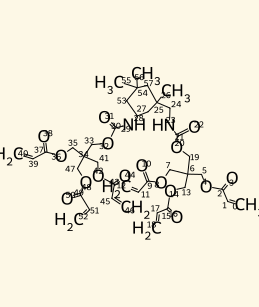 C=CC(=O)OCC(COC(=O)C=C)(COC(=O)C=C)COC(=O)NCC1(C)CC(NC(=O)OCC(COC(=O)C=C)(COC(=O)C=C)COC(=O)C=C)CC(C)(C)C1